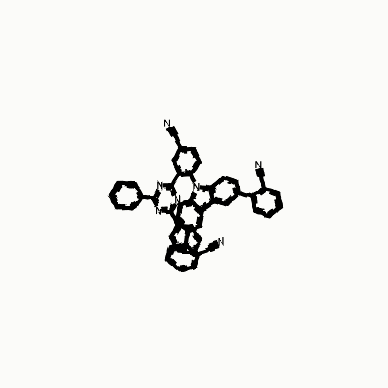 N#Cc1ccc(-n2c3ccc(-c4ccccc4C#N)cc3c3cc(-c4ccccc4C#N)ccc32)c(-c2nc(-c3ccccc3)nc(-c3ccccc3)n2)c1